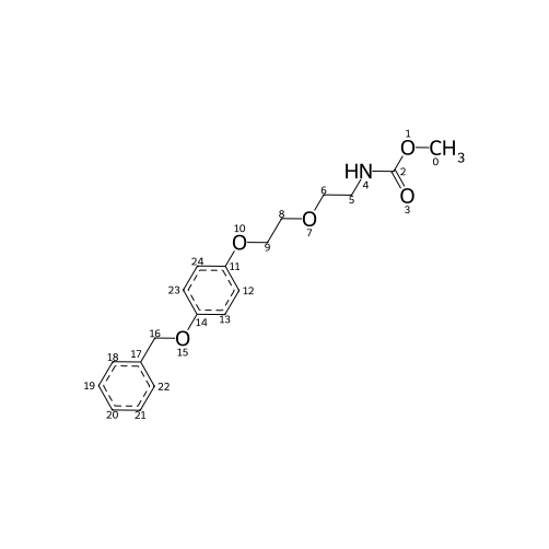 COC(=O)NCCOCCOc1ccc(OCc2ccccc2)cc1